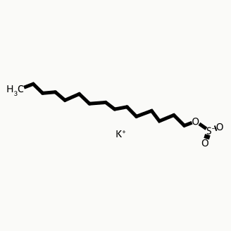 CCCCCCCCCCCCCCCO[S-](=O)=O.[K+]